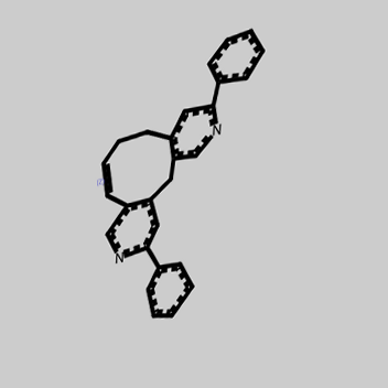 C1=C\c2cnc(-c3ccccc3)cc2Cc2cnc(-c3ccccc3)cc2CC/1